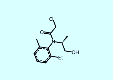 CCc1cccc(C)c1N(C(=O)CCl)[C@@H](C)CO